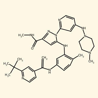 C=C(Nc1ccc(C)c(Nc2cc(C(=O)NC)nn2-c2cc(NN3CCN(C)CC3)ccn2)c1)c1ccnc(C(C)(C)C)c1